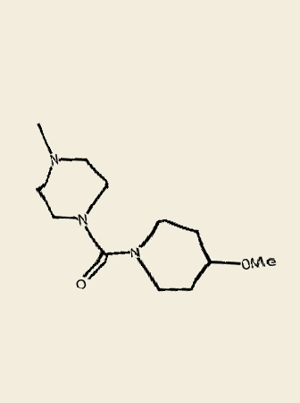 COC1CCN(C(=O)N2CCN(C)CC2)CC1